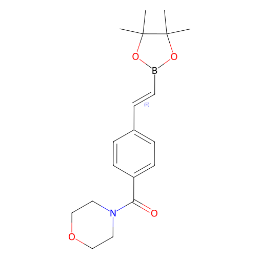 CC1(C)OB(/C=C/c2ccc(C(=O)N3CCOCC3)cc2)OC1(C)C